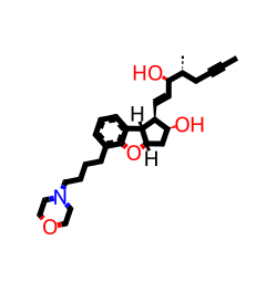 CC#CC[C@@H](C)[C@H](O)C=C[C@@H]1[C@H]2c3cccc(CCCCN4CCOCC4)c3O[C@H]2C[C@H]1O